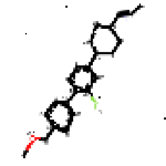 C/C=C/C1CCC(c2ccc(-c3ccc(COC)cc3)c(F)c2)CC1